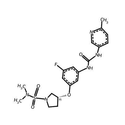 Cc1ccc(NC(=O)Nc2cc(F)cc(O[C@@H]3CCN(S(=O)(=O)N(C)C)C3)c2)cn1